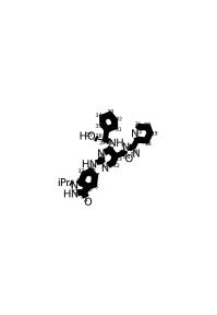 CC(C)n1[nH]c(=O)c2ccc(Nc3ncc(-c4nc(-c5ccccn5)no4)c(N[C@H](CO)c4ccccc4)n3)cc21